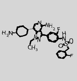 CCn1nc(-c2ccc(NS(=O)(=O)Cc3ccccc3F)c(F)c2)c2c(N)ncc([C@H]3CC[C@H](N)CC3)c21